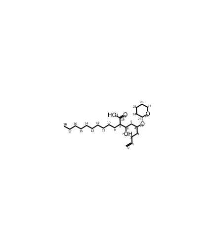 C=CCCC(CC(O)C(CCCCCCCCCC)C(=O)O)O[C@@H]1CCCCO1